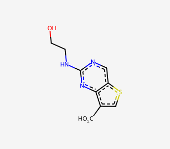 O=C(O)c1csc2cnc(NCCO)nc12